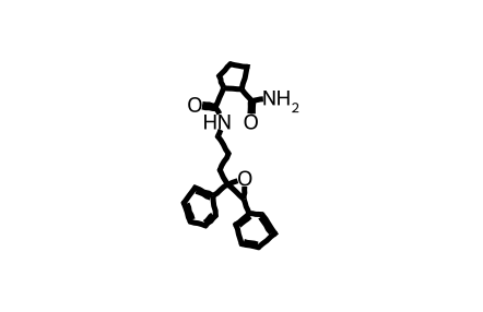 NC(=O)C1CCCC1C(=O)NCCCC1(c2ccccc2)OC1c1ccccc1